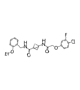 CCOc1ccccc1CNC(=O)C12CC(NC(=O)COc3ccc(Cl)c(F)c3)(C1)C2